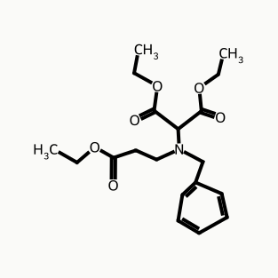 CCOC(=O)CCN(Cc1ccccc1)C(C(=O)OCC)C(=O)OCC